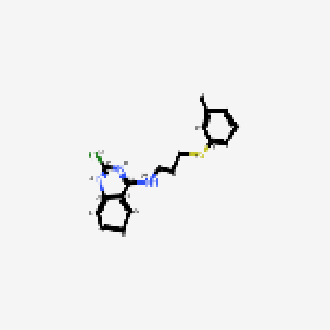 Cc1cccc(SCCCNc2nc(Cl)nc3ccccc23)c1